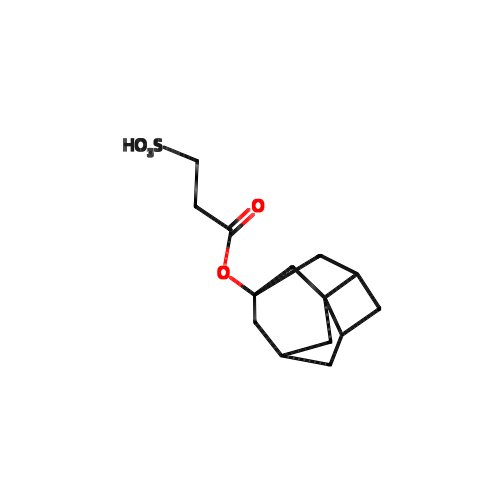 O=C(CCS(=O)(=O)O)OC12CC3CC4CC(C1)C4(C3)C2